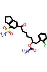 NC(=O)OC(CCCCC(=O)c1cc2c(c(S(N)(=O)=O)c1)CCC2)Cc1ccccc1Cl